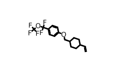 C=CC1CCC(COc2ccc(C(F)(F)OC(F)(F)F)cc2)CC1